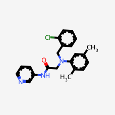 Cc1ccc(C)c(N(CC(=O)Nc2cccnc2)Cc2ccccc2Cl)c1